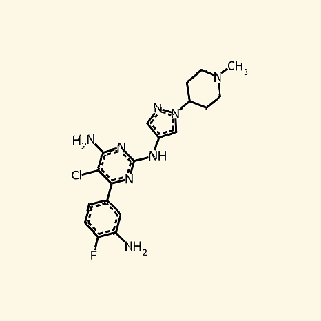 CN1CCC(n2cc(Nc3nc(N)c(Cl)c(-c4ccc(F)c(N)c4)n3)cn2)CC1